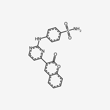 NS(=O)(=O)c1ccc(Nc2nccc(-c3cc4ccccc4oc3=O)n2)cc1